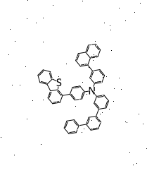 c1ccc(-c2cccc(-c3cccc(N(c4ccc(-c5cccc6c5sc5ccccc56)cc4)c4cccc(-c5cccc6ccccc56)c4)c3)c2)cc1